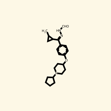 CC1CC1/C(=N\NC=O)c1ccc(OC2CCN(C3CCCC3)CC2)cc1